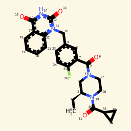 CC[C@H]1CN(C(=O)c2cc(Cn3c(=O)[nH]c(=O)c4ccccc43)ccc2F)CCN1C(=O)C1CC1